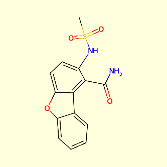 CS(=O)(=O)Nc1ccc2oc3ccccc3c2c1C(N)=O